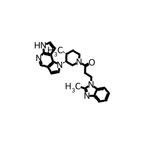 Cc1nc2ccccc2n1CCC(=O)N1CC[C@@H](C)[C@@H](n2ccc3cnc4[nH]ccc4c32)C1